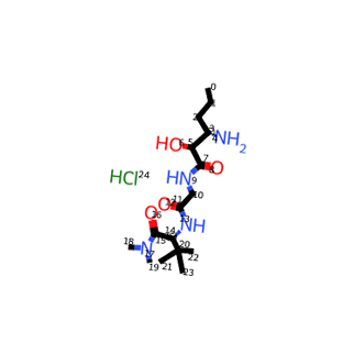 CCC[C@H](N)C(O)C(=O)NCC(=O)N[C@H](C(=O)N(C)C)C(C)(C)C.Cl